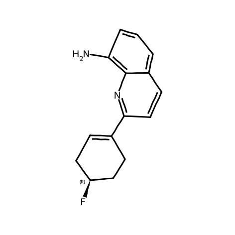 Nc1cccc2ccc(C3=CC[C@H](F)CC3)nc12